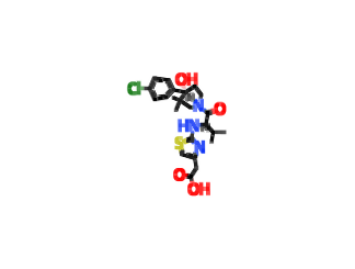 CC(C)[C@@H](Nc1nc(CC(=O)O)cs1)C(=O)N1CC[C@](O)(c2ccc(Cl)cc2)C(C)(C)C1